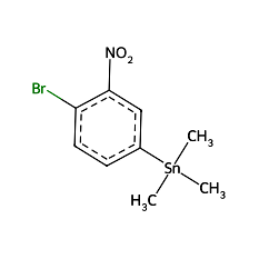 [CH3][Sn]([CH3])([CH3])[c]1ccc(Br)c([N+](=O)[O-])c1